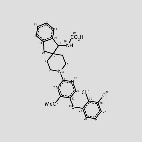 COc1nc(N2CCC3(CC2)Cc2ccccc2C3NC(=O)O)ncc1Sc1cccc(Cl)c1Cl